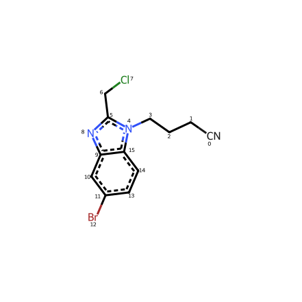 N#CCCCn1c(CCl)nc2cc(Br)ccc21